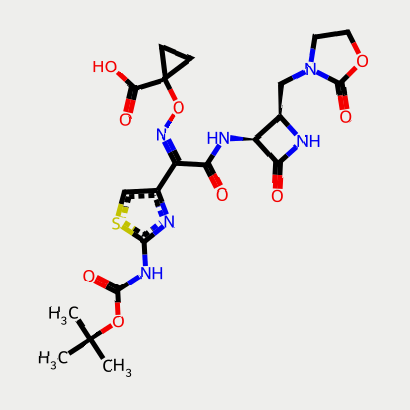 CC(C)(C)OC(=O)Nc1nc(C(=NOC2(C(=O)O)CC2)C(=O)N[C@@H]2C(=O)N[C@@H]2CN2CCOC2=O)cs1